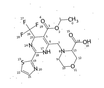 CCOC(=O)C1=C(CN2CCOCC2C(=O)O)NC(c2nccs2)=NC1C(F)(F)F